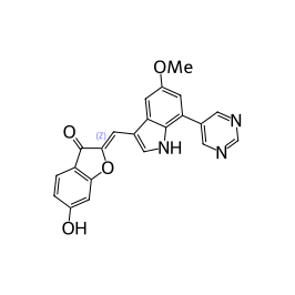 COc1cc(-c2cncnc2)c2[nH]cc(/C=C3\Oc4cc(O)ccc4C3=O)c2c1